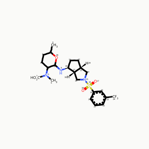 CC1CCC(N(C)C(=O)O)C(N[C@H]2CC[C@@H]3CN(S(=O)(=O)c4cccc(C(F)(F)F)c4)C[C@@H]32)O1